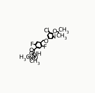 CC(C)Oc1ncc(OCc2cc(F)c(C(=O)NS(=O)(=O)N(C)C)cc2F)cc1Cl